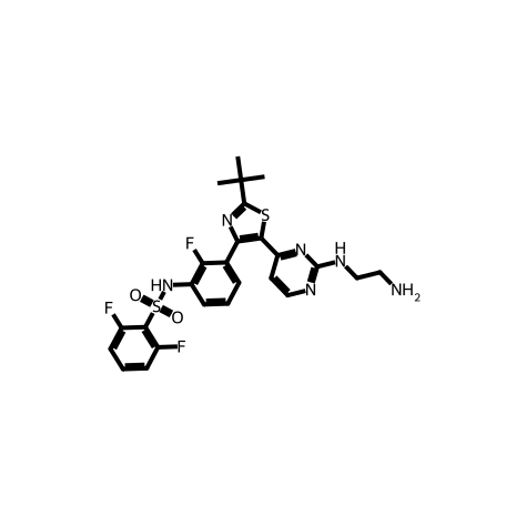 CC(C)(C)c1nc(-c2cccc(NS(=O)(=O)c3c(F)cccc3F)c2F)c(-c2ccnc(NCCN)n2)s1